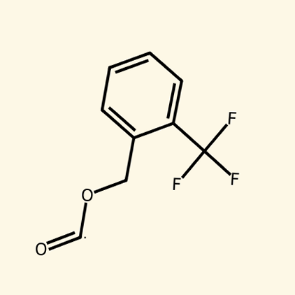 O=[C]OCc1ccccc1C(F)(F)F